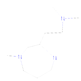 CN(C)CCC1CN(C)CCC[N]1